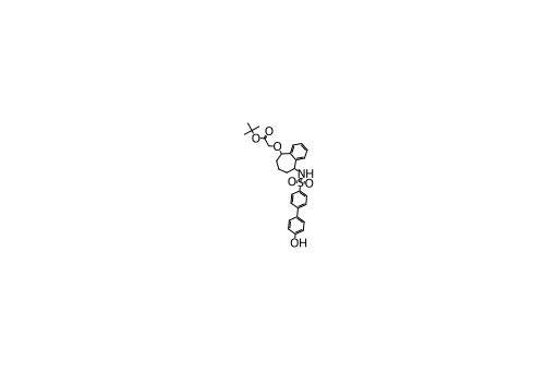 CC(C)(C)OC(=O)COC1CCCC(NS(=O)(=O)c2ccc(-c3ccc(O)cc3)cc2)c2ccccc21